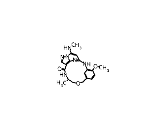 CNc1cc2nc3c(cnn13)C(=O)NC(C)COCc1ccc(OC)c(c1)N2